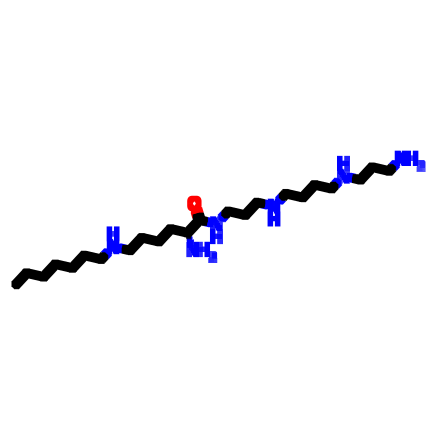 CCCCCCCNCCCC[C@@H](N)C(=O)NCCCNCCCCNCCCN